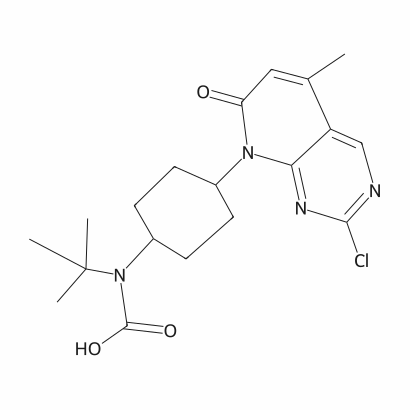 Cc1cc(=O)n(C2CCC(N(C(=O)O)C(C)(C)C)CC2)c2nc(Cl)ncc12